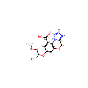 COC[C@H](C)Oc1cc2c(c(C(=O)O)c1)-n1nnnc1CO2